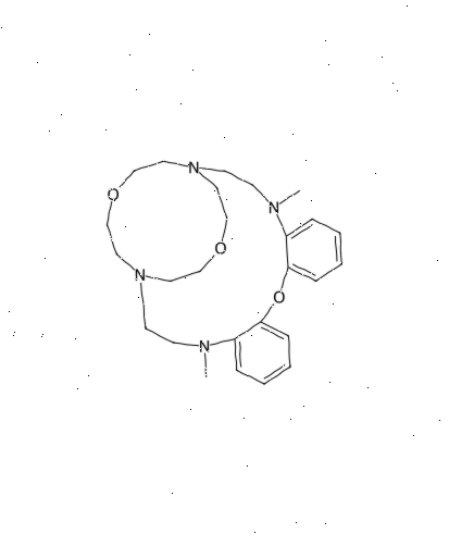 CN1CCN2CCOCCN(CCOCC2)CCN(C)c2ccccc2Oc2ccccc21